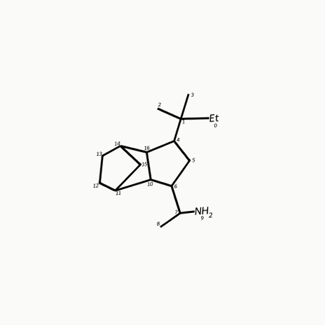 CCC(C)(C)C1CC(C(C)N)C2C3CCC(C3)C21